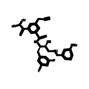 C#CCc1cc(C(=O)N[C@@H](Cc2cc(F)cc(F)c2)[C@H](O)CNCc2cccc(OC)c2)cc(C(=O)N(CCC)CCC)c1